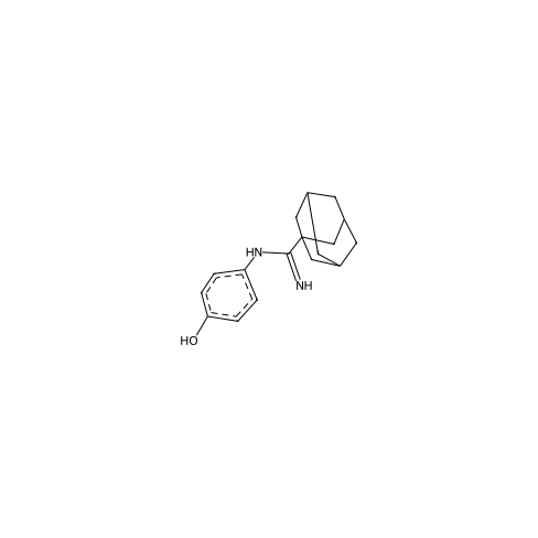 N=C(Nc1ccc(O)cc1)C12CC3CC(CC(C3)C1)C2